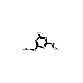 CCCCCCCCCCSc1nc(N)nc(NCCCCCCCC)n1